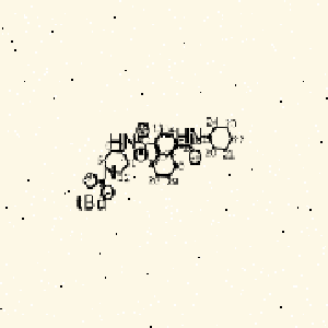 CC(C)(C)OC(=O)N1CCC(NS(=O)(=O)c2ccc(C(=O)NC3CCCCC3)c3c2CCCC3)CC1